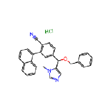 Cl.Cn1cncc1C(OCc1ccccc1)c1ccc(C#N)c(-c2cccc3ccccc23)c1